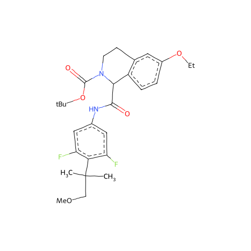 CCOc1ccc2c(c1)CCN(C(=O)OC(C)(C)C)C2C(=O)Nc1cc(F)c(C(C)(C)COC)c(F)c1